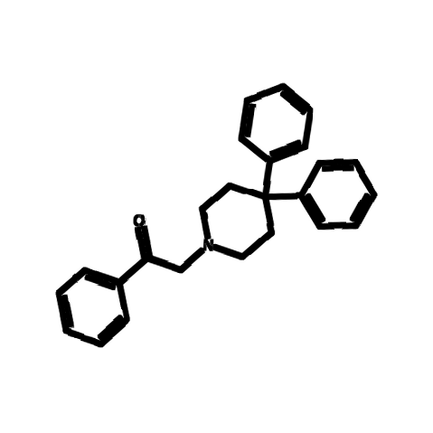 O=C(CN1CCC(c2ccccc2)(c2ccccc2)CC1)c1ccccc1